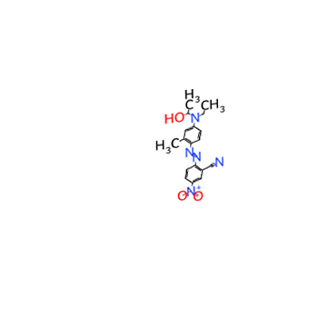 CCN(c1ccc(/N=N/c2ccc([N+](=O)[O-])cc2C#N)c(C)c1)C(C)O